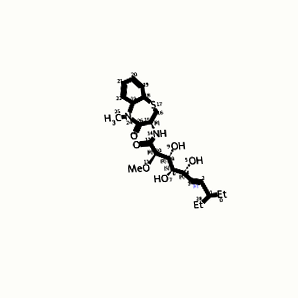 CCC(/C=C/[C@@H](O)[C@H](O)[C@@H](O)[C@@H](OC)C(=O)N[C@H]1CSC2C=CC=CC2N(C)C1=O)CC